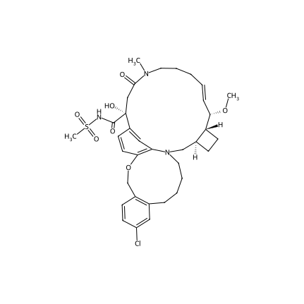 CO[C@H]1/C=C/CCCN(C)C(=O)C[C@](O)(C(=O)NS(C)(=O)=O)c2ccc3c(c2)N(CCCCc2cc(Cl)ccc2CO3)C[C@@H]2CC[C@H]21